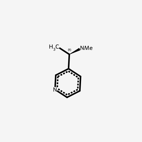 CN[C@H](C)c1cccnc1